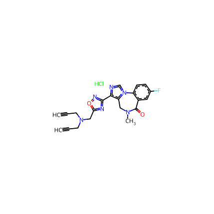 C#CCN(CC#C)Cc1nc(-c2ncn3c2CN(C)C(=O)c2cc(F)ccc2-3)no1.Cl